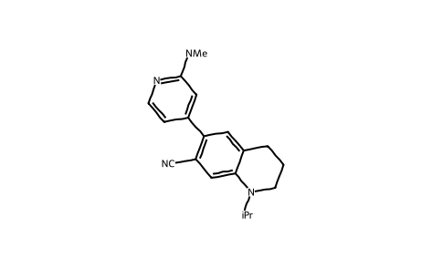 CNc1cc(-c2cc3c(cc2C#N)N(C(C)C)CCC3)ccn1